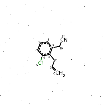 C=CCc1c(Cl)cccc1CC#N